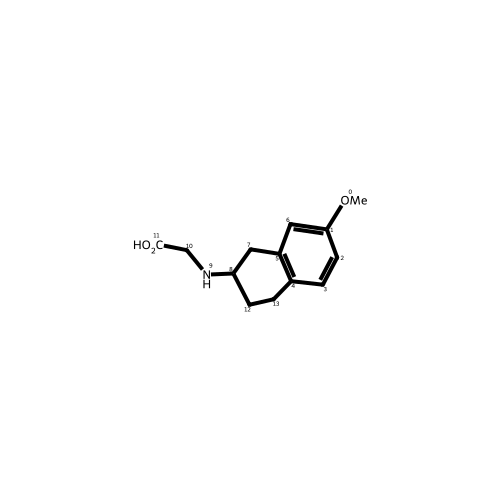 COc1ccc2c(c1)CC(NCC(=O)O)CC2